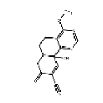 COc1ncnc2c1CCC1CC(=O)C(C#N)=CC21C